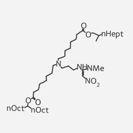 CCCCCCCCC(CCCCCCCC)OC(=O)CCCCCCCN(CCCCCCCC(=O)OCC(C)CCCCCCC)CCCNC(=C[N+](=O)[O-])NC